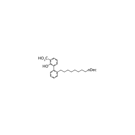 CCCCCCCCCCCCCCCCCCc1ccccc1-c1cccc(C(=O)O)c1O